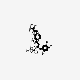 O=C(O)N[C@H](Cc1cc(F)c(F)cc1F)Cc1nnc2n1CCn1cc(C(F)(F)F)nc1-2